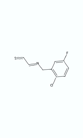 Fc1ccc(Cl)c(CN=CC=S)c1